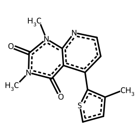 Cc1ccsc1-c1ccnc2c1c(=O)n(C)c(=O)n2C